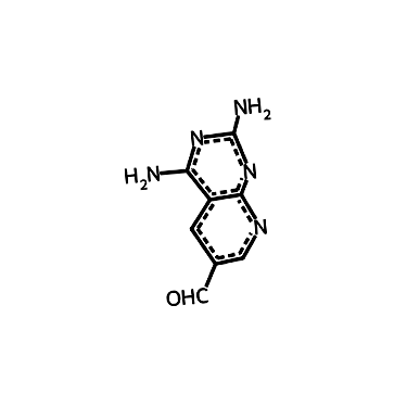 Nc1nc(N)c2cc(C=O)cnc2n1